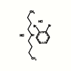 Brc1ccccc1Br.CCC[CH2][Sn][CH2]CCC.Cl.Cl